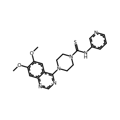 COc1cc2ncnc(N3CCN(C(=S)Nc4cccnc4)CC3)c2cc1OC